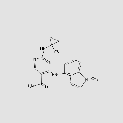 Cn1ccc2c(Nc3nc(NC4(C#N)CC4)ncc3C(N)=O)cccc21